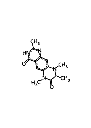 Cc1nc2cc3c(cc2c(=O)[nH]1)N(C)C(=O)C(C)N3C